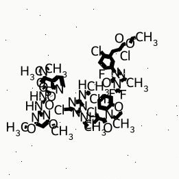 CC1COc2ccccc2N1C(=O)C(Cl)Cl.CCNc1nc(Cl)nc(NC(C)C)n1.CCOC(=O)C(Cl)Cc1cc(-n2nc(C)n(C(F)F)c2=O)c(F)cc1Cl.COc1cc(OC)nc(NC(=O)NS(=O)(=O)c2ncccc2C(=O)N(C)C)n1